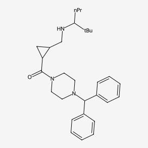 CCCC(NCC1CC1C(=O)N1CCN(C(c2ccccc2)c2ccccc2)CC1)C(C)(C)C